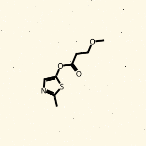 COCCC(=O)Oc1cnc(C)s1